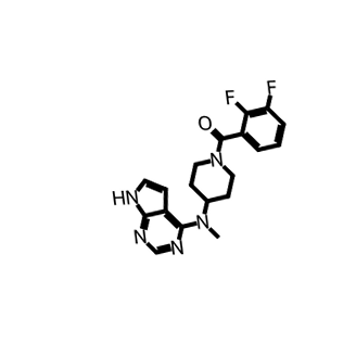 CN(c1ncnc2[nH]ccc12)C1CCN(C(=O)c2cccc(F)c2F)CC1